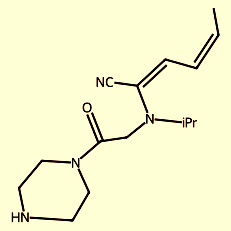 C/C=C\C=C(\C#N)N(CC(=O)N1CCNCC1)C(C)C